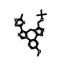 COc1ccc2c(c1)-c1nnc(COC(C)(C)C)n1Cc1c(-c3noc(C)n3)ncn1-2